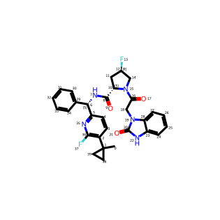 CC1(c2ccc([C@@H](NC(=O)[C@@H]3C[C@@H](F)CN3C(=O)Cn3c(=O)[nH]c4ccccc43)c3ccccc3)nc2F)CC1